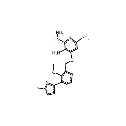 COc1c(COc2cc(N)nc(NN)c2N)cccc1-c1ccn(C)n1